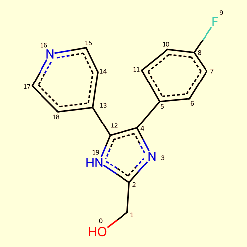 OCc1nc(-c2ccc(F)cc2)c(-c2ccncc2)[nH]1